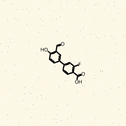 O=Cc1cc(-c2ccc(C(=O)O)c(F)c2)ccc1O